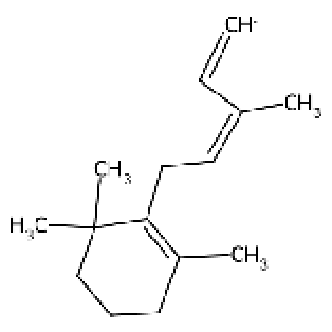 [CH]=CC(C)=CCC1=C(C)CCCC1(C)C